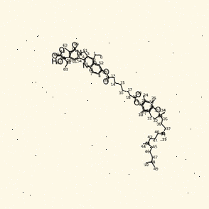 CCc1c2c(nc3ccc(OC(=O)CCCCCCC(=O)Oc4c(C)c(C)c5c(c4C)CC[C@@](C)(CCC[C@H](C)CCC[C@H](C)CCCC(C)C)O5)cc13)-c1cc3c(c(=O)n1C2)COC(=O)[C@]3(O)CC